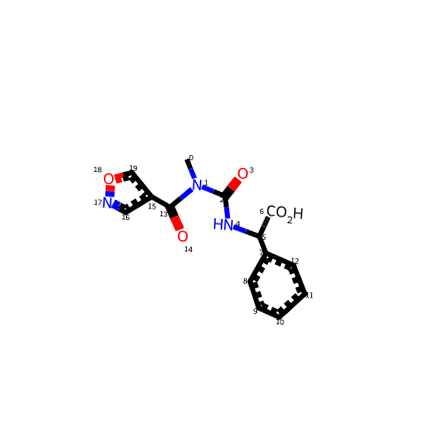 CN(C(=O)NC(C(=O)O)c1ccccc1)C(=O)c1cnoc1